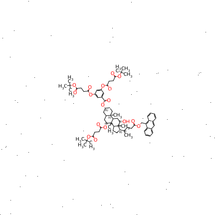 C[C@H](CCC(=O)OCc1c2ccccc2cc2ccccc12)[C@H]1CCC2[C@@]3(C)C(C[C@H](O)[C@@]21C)[C@@]1(C)CC[C@@H](OC(=O)c2cc(OC(=O)CCC(=O)OC(C)(C)C)cc(OC(=O)CCC(=O)OC(C)(C)C)c2)CC1C[C@H]3OC(=O)CCC(=O)OC(C)(C)C